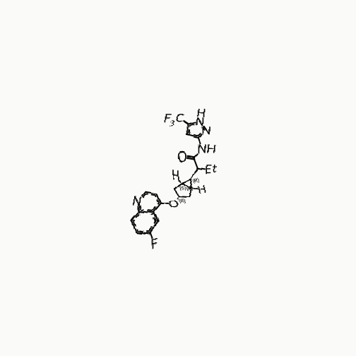 CCC(C(=O)Nc1cc(C(F)(F)F)[nH]n1)[C@H]1[C@@H]2C[C@H](Oc3ccnc4ccc(F)cc34)C[C@@H]21